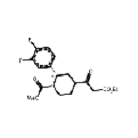 CCOC(=O)CC(=O)[C@H]1CCN(C(=O)OC)[C@H](c2ccc(F)c(F)c2)C1